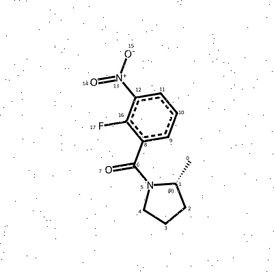 C[C@@H]1CCCN1C(=O)c1cccc([N+](=O)[O-])c1F